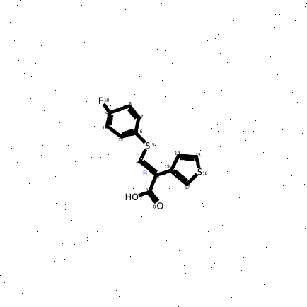 O=C(O)/C(=C/Sc1ccc(F)cc1)c1ccsc1